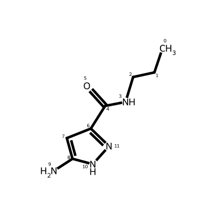 CCCNC(=O)c1cc(N)[nH]n1